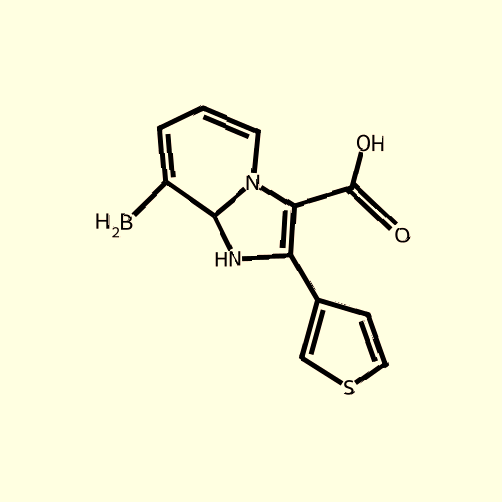 BC1=CC=CN2C(C(=O)O)=C(c3ccsc3)NC12